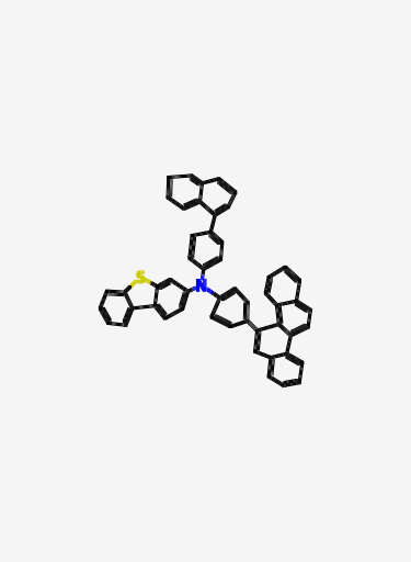 c1ccc2c(-c3ccc(N(c4ccc(-c5cc6ccccc6c6ccc7ccccc7c56)cc4)c4ccc5c(c4)sc4ccccc45)cc3)cccc2c1